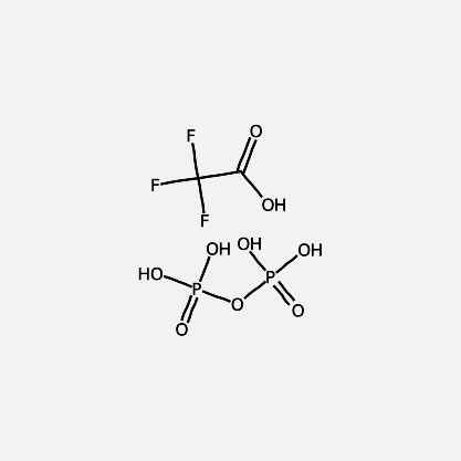 O=C(O)C(F)(F)F.O=P(O)(O)OP(=O)(O)O